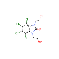 O=c1n(CCO)c2c(Cl)c(Cl)c(Cl)c(Cl)c2n1CCO